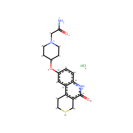 Cl.NC(=O)CN1CCC(Oc2ccc3[nH]c(=O)c4c(c3c2)CCSC4)CC1